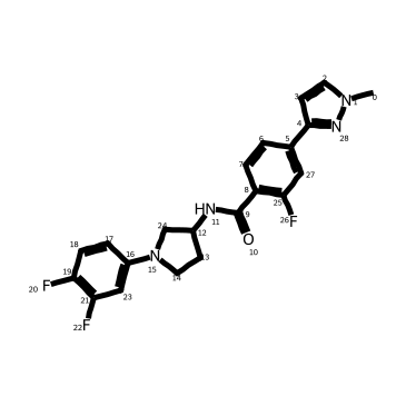 Cn1ccc(-c2ccc(C(=O)NC3CCN(c4ccc(F)c(F)c4)C3)c(F)c2)n1